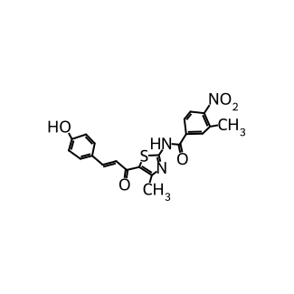 Cc1cc(C(=O)Nc2nc(C)c(C(=O)C=Cc3ccc(O)cc3)s2)ccc1[N+](=O)[O-]